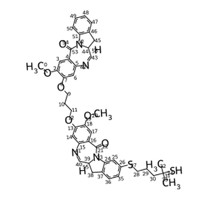 COc1cc2c(cc1OCCCOc1cc3c(cc1OC)C(=O)N1c4cc(SCCCC(C)(C)S)ccc4C[C@H]1C=N3)N=C[C@@H]1Cc3ccccc3N1C2=O